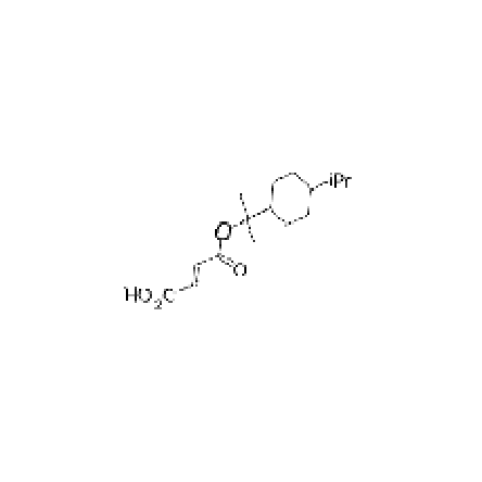 CC(C)C1CCC(C(C)(C)OC(=O)/C=C/C(=O)O)CC1